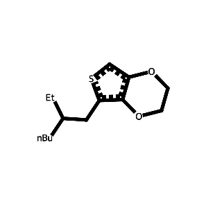 CCCCC(CC)Cc1scc2c1OCCO2